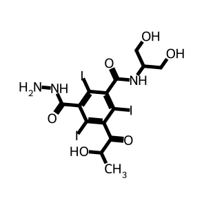 CC(O)C(=O)c1c(I)c(C(=O)NN)c(I)c(C(=O)NC(CO)CO)c1I